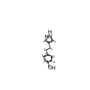 Oc1ccc(CCc2cn[nH]c2)cc1